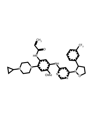 C=CC(=O)Nc1cc(Nc2cc(N3OCCC3c3cccc(C(F)(F)F)c3)ncn2)c(OC)cc1N1CCN(C2CC2)CC1